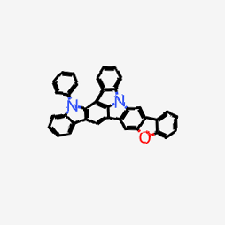 c1ccc(-n2c3ccccc3c3cc4c5cc6oc7ccccc7c6cc5n5c6ccccc6c(c32)c45)cc1